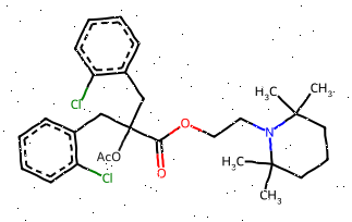 CC(=O)OC(Cc1ccccc1Cl)(Cc1ccccc1Cl)C(=O)OCCN1C(C)(C)CCCC1(C)C